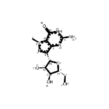 Cn1nc([C@@H]2O[C@H](CO)[C@@H](O)[C@H]2O)c2nc(N)[nH]c(=O)c21